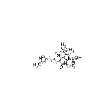 Cc1cc(CCCCn2c(=O)c3c(C(C)(C)C)cn(C(=O)O)c3n(C)c2=O)on1